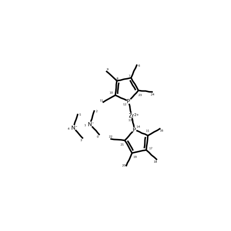 C[N-]C.C[N-]C.Cc1c(C)c(C)[p]([Zr+2][p]2c(C)c(C)c(C)c2C)c1C